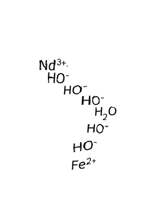 O.[Fe+2].[Nd+3].[OH-].[OH-].[OH-].[OH-].[OH-]